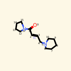 O=C(/C=C/CN1CCCCC1)N1CCCC1